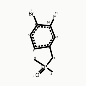 CP(C)(=O)Cc1ccc(Br)c(F)c1